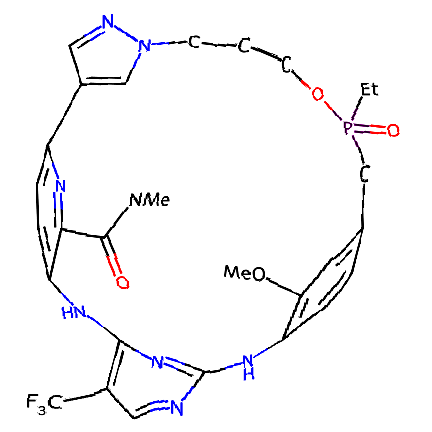 CCP1(=O)Cc2ccc(c(OC)c2)Nc2ncc(C(F)(F)F)c(n2)Nc2ccc(nc2C(=O)NC)-c2cnn(c2)CCCO1